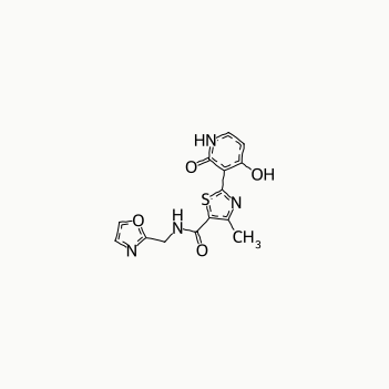 Cc1nc(-c2c(O)cc[nH]c2=O)sc1C(=O)NCc1ncco1